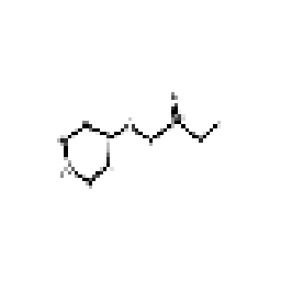 CCC(=O)COC1CCOCC1